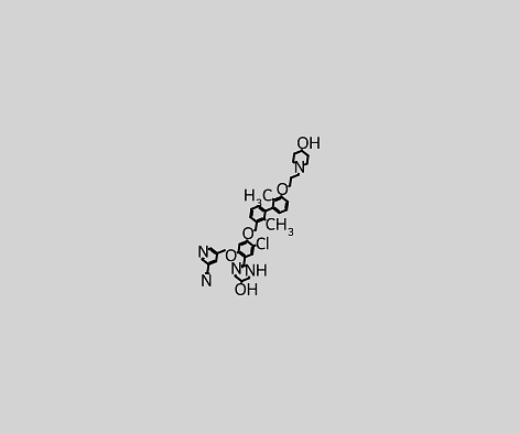 Cc1c(COc2cc(OCc3cncc(C#N)c3)c(C3=NCC(O)CN3)cc2Cl)cccc1-c1cccc(OCCCN2CCC(O)CC2)c1C